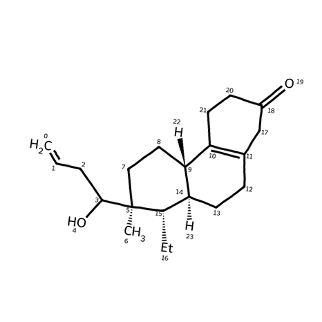 C=CCC(O)[C@@]1(C)CC[C@@H]2C3=C(CC[C@H]2[C@@H]1CC)CC(=O)CC3